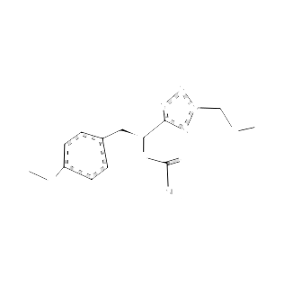 COc1ccc(C[C@H](OC(N)=O)c2nnn(CSC)n2)cc1